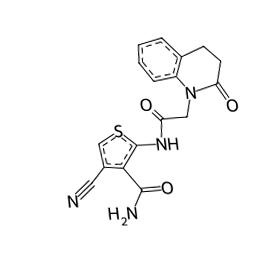 N#Cc1csc(NC(=O)CN2C(=O)CCc3ccccc32)c1C(N)=O